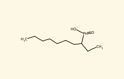 CCCCCCCC(CC)[PH](=O)O